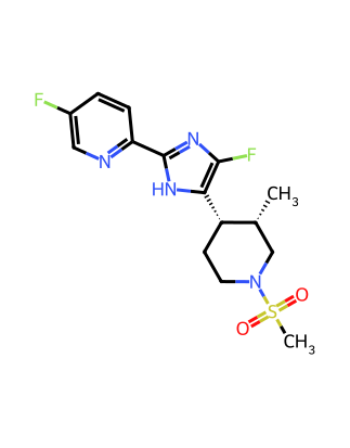 C[C@@H]1CN(S(C)(=O)=O)CC[C@@H]1c1[nH]c(-c2ccc(F)cn2)nc1F